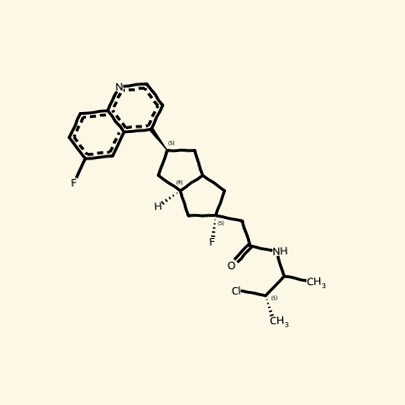 CC(NC(=O)C[C@]1(F)CC2C[C@H](c3ccnc4ccc(F)cc34)C[C@@H]2C1)[C@H](C)Cl